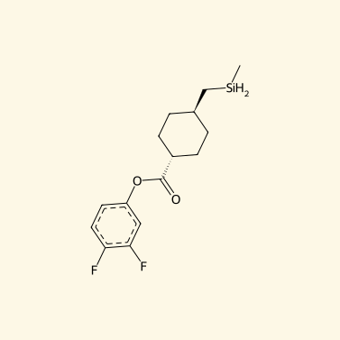 C[SiH2]C[C@H]1CC[C@H](C(=O)Oc2ccc(F)c(F)c2)CC1